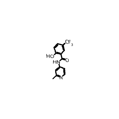 Cc1cc(NC(=O)c2cc(C(F)(F)F)ccc2O)ccn1